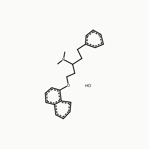 CN(C)C(CCOc1cccc2ccccc12)CCc1ccccc1.Cl